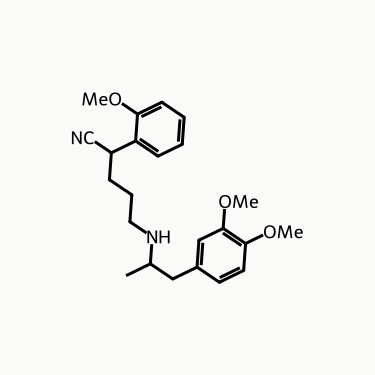 COc1ccc(CC(C)NCCCC(C#N)c2ccccc2OC)cc1OC